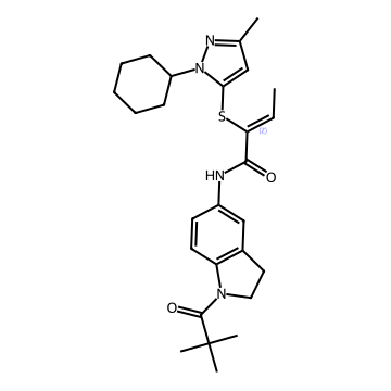 C/C=C(\Sc1cc(C)nn1C1CCCCC1)C(=O)Nc1ccc2c(c1)CCN2C(=O)C(C)(C)C